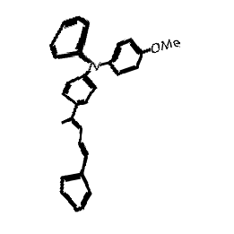 COc1ccc(N(c2ccccc2)c2ccc(C(C)=CC=Cc3ccccc3)cc2)cc1